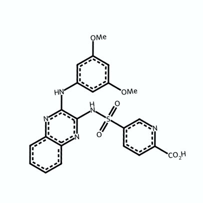 COc1cc(Nc2nc3ccccc3nc2NS(=O)(=O)c2ccc(C(=O)O)nc2)cc(OC)c1